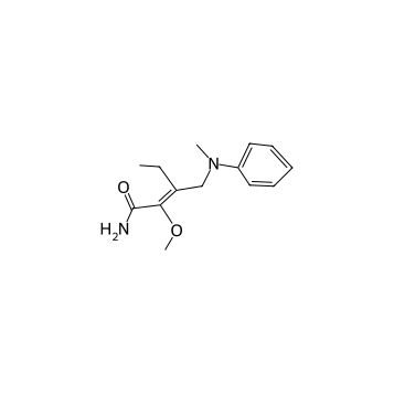 CC/C(CN(C)c1ccccc1)=C(/OC)C(N)=O